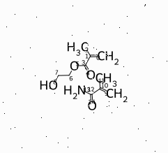 C=C(C)C(=O)OCCO.C=C(C)C(N)=O